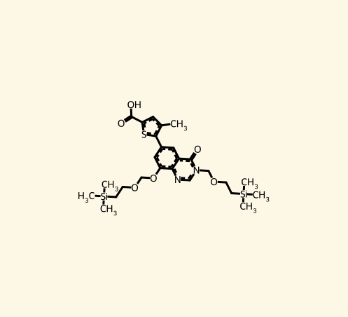 Cc1cc(C(=O)O)sc1-c1cc(OCOCC[Si](C)(C)C)c2ncn(COCC[Si](C)(C)C)c(=O)c2c1